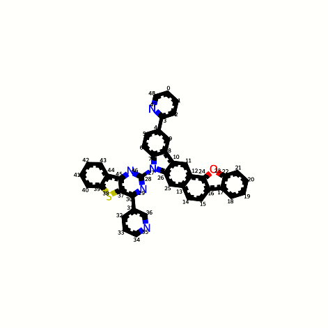 c1ccc(-c2ccc3c(c2)c2cc4c(ccc5c6ccccc6oc45)cc2n3-c2nc(-c3cccnc3)c3sc4ccccc4c3n2)nc1